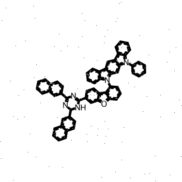 c1ccc(-n2c3ccccc3c3cc4c5ccccc5n(-c5cccc6oc7cc(C8=NC(c9ccc%10ccccc%10c9)=NC(c9ccc%10ccccc%10c9)N8)ccc7c56)c4cc32)cc1